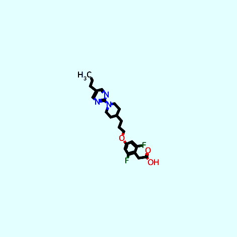 CCCc1cnc(N2CCC(CCCOc3cc(F)c(CC(=O)O)c(F)c3)CC2)nc1